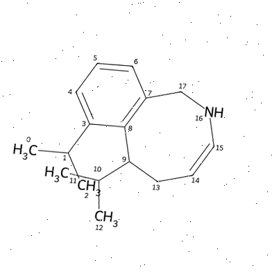 CC(C)c1cccc2c1C(C(C)C)C/C=C\NC2